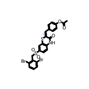 CC(=O)Oc1ccc(/C=C2/Sc3cc(S(=O)(=O)Cc4c(Br)cccc4Br)ccc3NC2=O)cc1